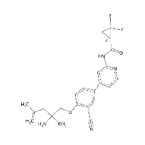 C=C(C)CC(C)(N)COc1ccc(-c2ccnc(NC(=O)[C@@H]3CC3(F)F)c2)cc1C#N